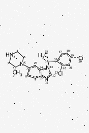 C[C@@H]1CNCCN1c1ccc2ncn([C@H](C)c3ccc(Cl)cc3Cl)c2c1